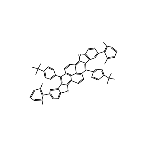 Cc1cccc(C)c1-c1ccc2oc3c4ccc5c(-c6ccc(C(C)(C)C)cc6)c6c7cc(-c8c(C)cccc8C)ccc7oc6c6ccc(c(-c7ccc(C(C)(C)C)cc7)c3c2c1)c4c56